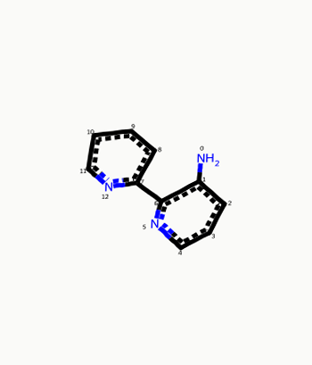 Nc1cccnc1-c1ccccn1